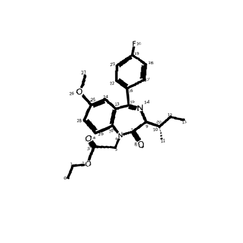 CCOC(=O)CN1C(=O)C([C@@H](C)CC)N=C(c2ccc(F)cc2)c2cc(OC)ccc21